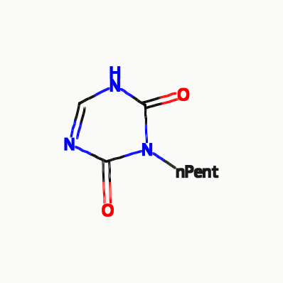 CCCCCn1c(=O)nc[nH]c1=O